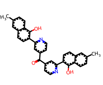 Cc1ccc2c(O)c(-c3cc(C(=O)c4ccnc(-c5ccc6cc(C)ccc6c5O)c4)ccn3)ccc2c1